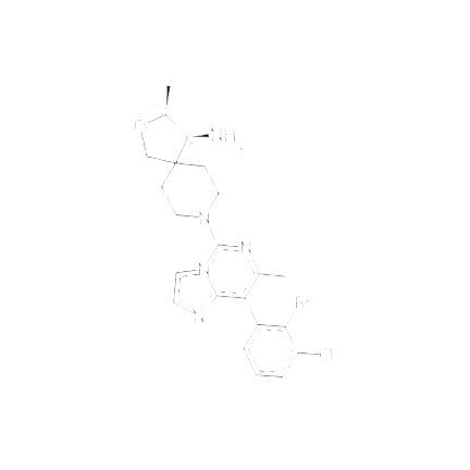 Cc1nc(N2CCC3(CC2)CO[C@@H](C)[C@H]3N)n2ccnc2c1-c1cccc(Cl)c1Br